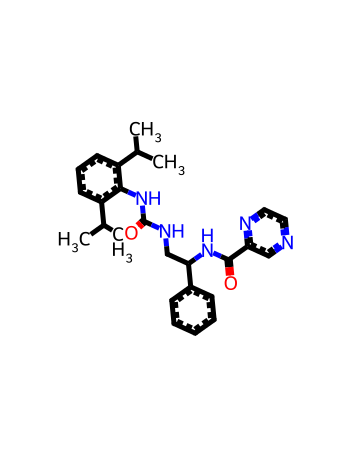 CC(C)c1cccc(C(C)C)c1NC(=O)NCC(NC(=O)c1cnccn1)c1ccccc1